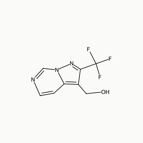 OCc1c(C(F)(F)F)nn2cnccc12